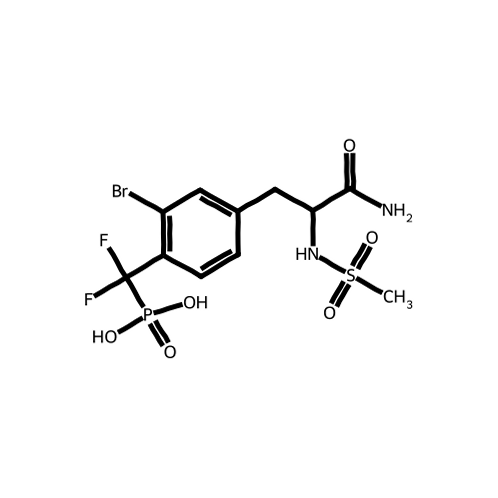 CS(=O)(=O)NC(Cc1ccc(C(F)(F)P(=O)(O)O)c(Br)c1)C(N)=O